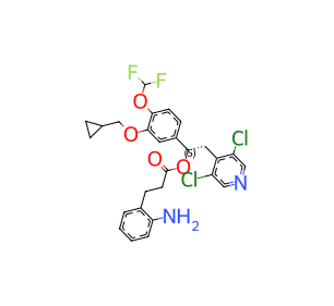 Nc1ccccc1CCC(=O)O[C@@H](Cc1c(Cl)cncc1Cl)c1ccc(OC(F)F)c(OCC2CC2)c1